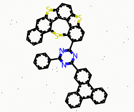 c1ccc(-c2nc(-c3ccc4c5ccccc5c5ccccc5c4c3)nc(-c3ccc4sc5ccc6sc7cc8ccccc8c8sc3c4c5c6c78)n2)cc1